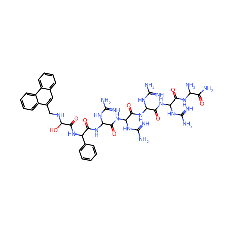 N=C(N)NC(NC(=O)C(NC(=N)N)NC(=O)C(NC(=N)N)NC(=O)C(NC(=N)N)NC(=O)C(NC(=O)C(O)NCc1cc2ccccc2c2ccccc12)c1ccccc1)C(=O)NC(N)C(N)=O